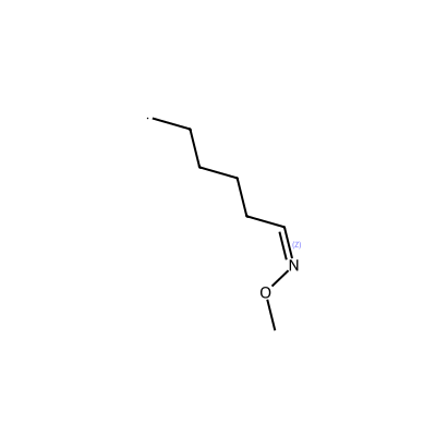 [CH2]CCCC/C=N\OC